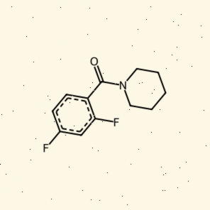 O=C(c1ccc(F)cc1F)N1CCCCC1